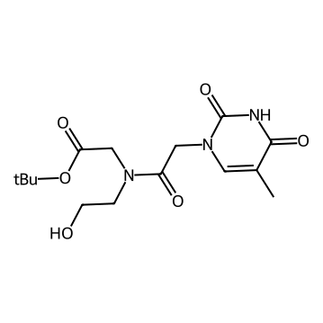 Cc1cn(CC(=O)N(CCO)CC(=O)OC(C)(C)C)c(=O)[nH]c1=O